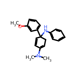 COc1cccc(C2(Nc3ccccc3)C=CC(N(C)C)=CC2)c1